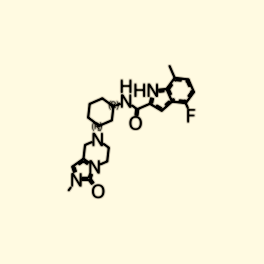 Cc1ccc(F)c2cc(C(=O)N[C@@H]3CCC[C@@H](N4CCn5c(cn(C)c5=O)C4)C3)[nH]c12